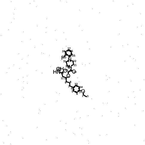 CCOc1ccc(CCCC(CC(=O)NO)OCC(=O)N2CCN(c3ccccc3F)CC2)cc1